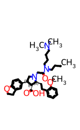 CCCCN(CCCCN(C)C)C(=O)CN1C[C@H](c2ccc3c(c2)CCO3)[C@@H](C(=O)O)[C@@H]1CCc1ccccc1OC